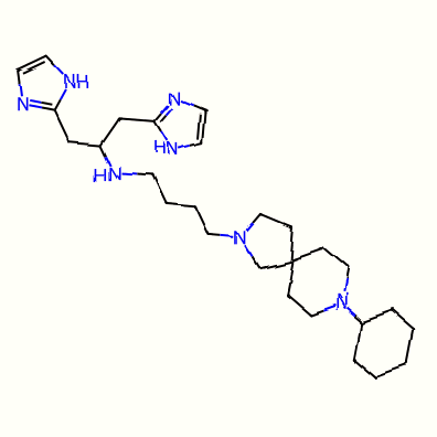 c1c[nH]c(CC(Cc2ncc[nH]2)NCCCCN2CCC3(CCN(C4CCCCC4)CC3)C2)n1